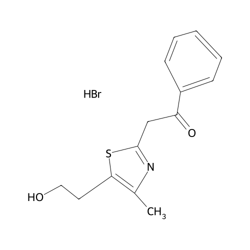 Br.Cc1nc(CC(=O)c2ccccc2)sc1CCO